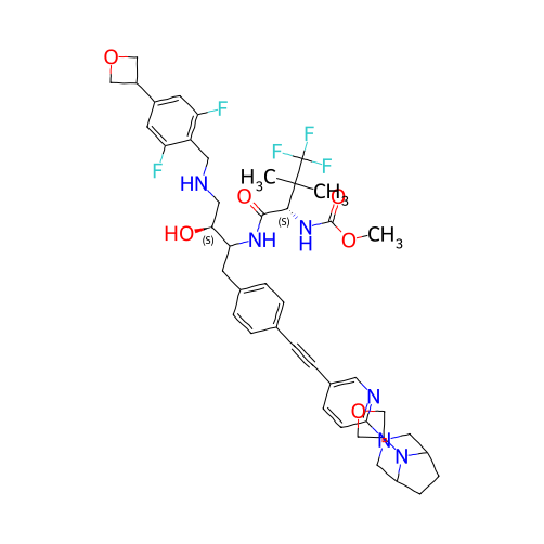 COC(=O)N[C@H](C(=O)NC(Cc1ccc(C#Cc2ccc(N3CC4CCC(C3)N4C3COC3)nc2)cc1)[C@@H](O)CNCc1c(F)cc(C2COC2)cc1F)C(C)(C)C(F)(F)F